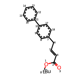 CC(C)(C)OC(=O)C=CCc1ccc(-c2ccccc2)cc1